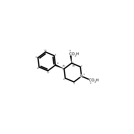 O=C(O)[C@H]1CN(C(=O)O)CC[C@H]1c1ccccc1